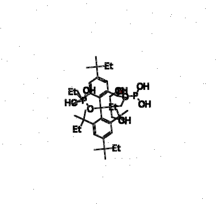 CCC(C)(C)c1cc(C(C)(C)CC)c(C(OP(O)O)(c2c(C(C)(C)CC)cc(C(C)(C)CC)cc2C(C)(C)CC)C(CO)(CO)COP(O)O)c(C(C)(C)CC)c1